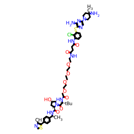 Cc1ncsc1-c1ccc([C@@H](C)NC(=O)[C@H]2C[C@H](O)CN2C(=O)[C@H](NC(=O)COCCOCCOCCOCCNC(=O)CCC(=O)Nc2cccc(Sc3ncc(N4CCC(C)(N)CC4)nc3N)c2Cl)C(C)(C)C)cc1